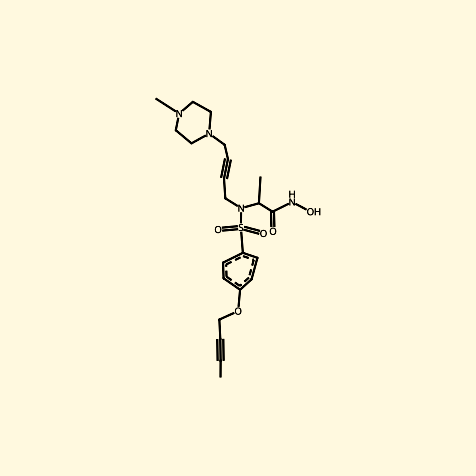 CC#CCOc1ccc(S(=O)(=O)N(CC#CCN2CCN(C)CC2)C(C)C(=O)NO)cc1